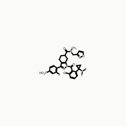 CN(Cc1ccon1)C(=O)C1CCc2c(-c3ccc(C(=O)O)cc3F)nn(C(=O)c3c(Cl)cccc3C3(N(F)F)CC3)c2C1